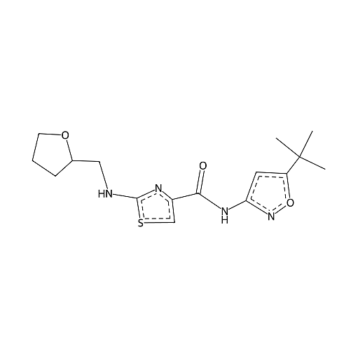 CC(C)(C)c1cc(NC(=O)c2csc(NCC3CCCO3)n2)no1